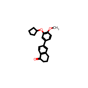 COc1ccc(-c2ccc3c(c2)CCCC3=O)cc1OC1CCCC1